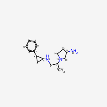 CC(CN[C@@H]1C[C@H]1c1ccccc1)N1CCC(N)C1